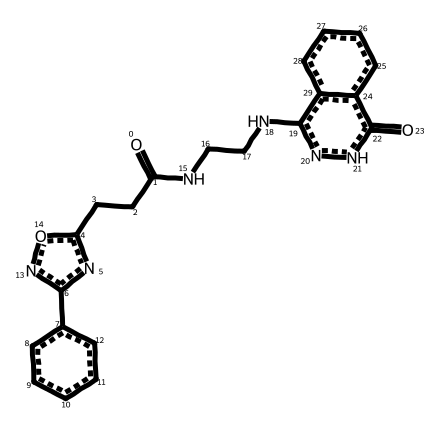 O=C(CCc1nc(-c2ccccc2)no1)NCCNc1n[nH]c(=O)c2ccccc12